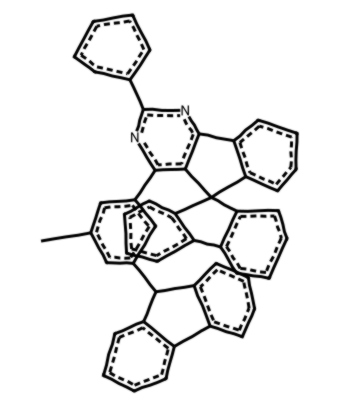 Cc1cc(-c2nc(-c3ccccc3)nc3c2C2(c4ccccc4-c4ccccc42)c2ccccc2-3)cc(C2c3ccccc3-c3ccccc32)c1